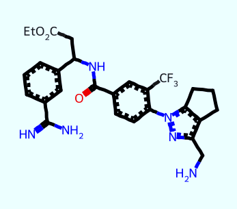 CCOC(=O)CC(NC(=O)c1ccc(-n2nc(CN)c3c2CCC3)c(C(F)(F)F)c1)c1cccc(C(=N)N)c1